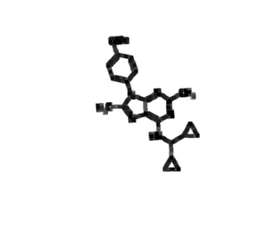 COc1ccc(-n2c(C)nc3c(NC(C4CC4)C4CC4)nc(C)nc32)cc1